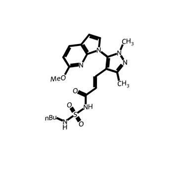 CCCCNS(=O)(=O)NC(=O)C=Cc1c(C)nn(C)c1-n1ccc2ccc(OC)nc21